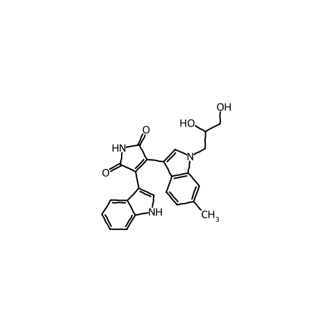 Cc1ccc2c(C3=C(c4c[nH]c5ccccc45)C(=O)NC3=O)cn(CC(O)CO)c2c1